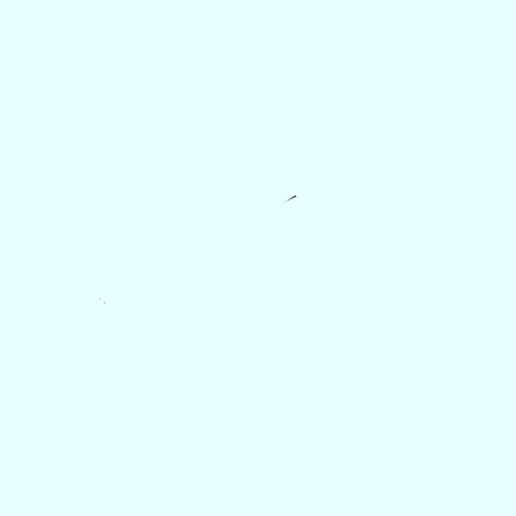 CCCCCC[C@H]1CC[C@H](c2cc(F)c(C#N)c(F)c2)CC1